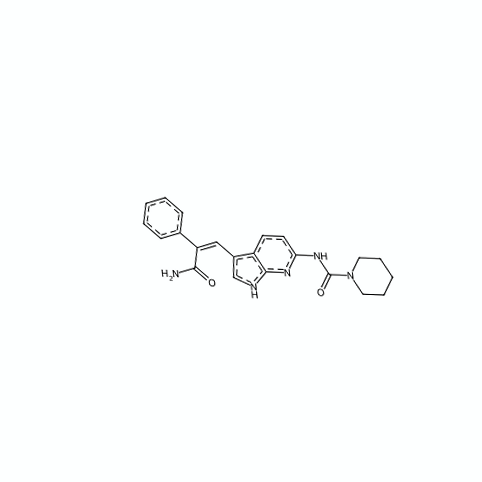 NC(=O)C(=Cc1c[nH]c2nc(NC(=O)N3CCCCC3)ccc12)c1ccccc1